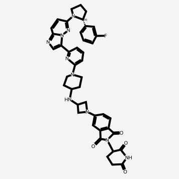 O=C1CCC(N2C(=O)c3ccc(N4CC(NC5CCN(c6cccc(-c7cnc8ccc(N9CCC[C@@H]9c9cccc(F)c9)nn78)n6)CC5)C4)cc3C2=O)C(=O)N1